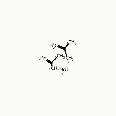 Br.C=C(C)C.C=C(C)C